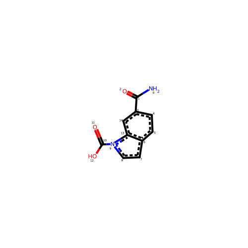 NC(=O)c1ccc2ccn(C(=O)O)c2c1